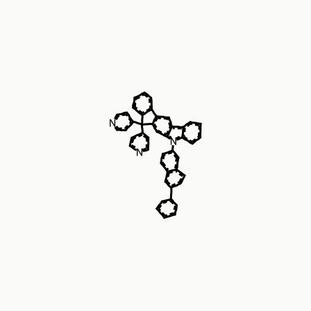 c1ccc(-c2ccc3cc(-n4c5ccccc5c5cc6c(cc54)C(c4ccncc4)(c4ccncc4)c4ccccc4-6)ccc3c2)cc1